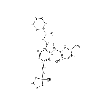 Nc1ncc(Cl)c(-c2cn(CC(=O)N3CCOCC3)c3ccc(C#CC4(O)CCCC4)cc23)n1